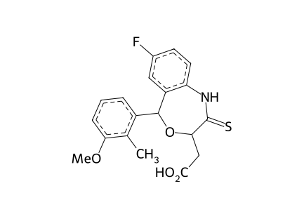 COc1cccc(C2OC(CC(=O)O)C(=S)Nc3ccc(F)cc32)c1C